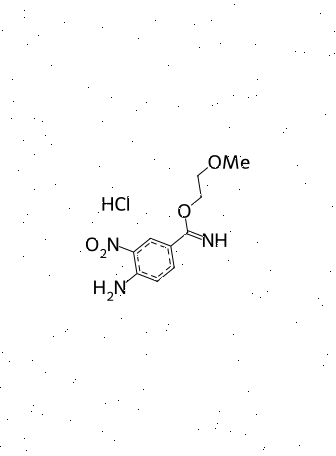 COCCOC(=N)c1ccc(N)c([N+](=O)[O-])c1.Cl